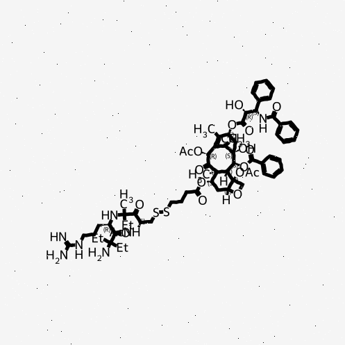 CCC(N)(CC)C(=O)[C@@H](CCCNC(=N)N)NC(C)(CC)C(=O)[C@@H](CSSCCCC(=O)O[C@H]1C[C@H]2OC[C@@]2(OC(C)=O)[C@H]2[C@H](OC(=O)c3ccccc3)[C@]3(O)C[C@H](OC(=O)[C@H](O)[C@@H](NC(=O)c4ccccc4)c4ccccc4)C(C)=C([C@@H](OC(C)=O)C(=O)[C@]12C)C3(C)C)NC(C)=O